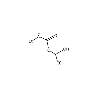 CCNC(=O)OC(O)C(Cl)(Cl)Cl